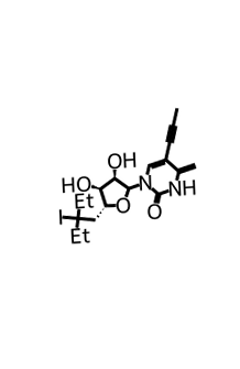 C=C1NC(=O)N(C2O[C@H](CC(I)(CC)CC)[C@@H](O)[C@H]2O)C=C1C#CC